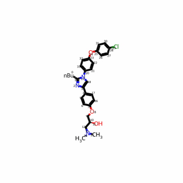 CCCCc1nc(-c2ccc(OC[C@@H](O)CN(C)C)cc2)cn1-c1ccc(Oc2ccc(Cl)cc2)cc1